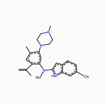 C=C(C)c1cc(C)c(N2CCN(C)CC2)cc1N(c1cc2ccc(C#N)cc2[nH]1)C(C)(C)C